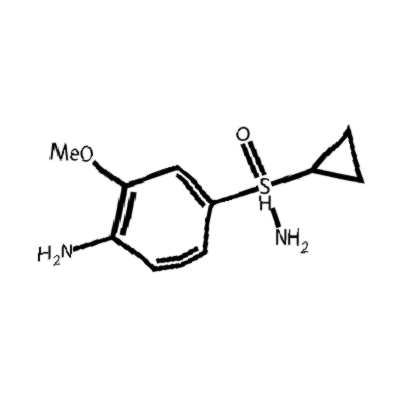 COc1cc([SH](N)(=O)C2CC2)ccc1N